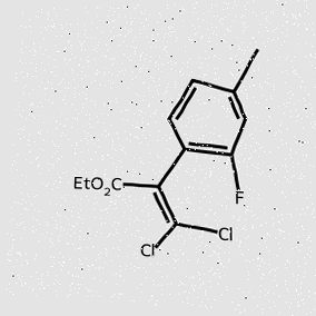 CCOC(=O)C(=C(Cl)Cl)c1ccc(C)cc1F